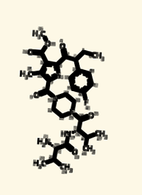 CCC(C(=O)c1sc(C(=O)N2CCN(C(=O)[C@@H](NC(=O)[C@@H](N)C(C)C)C(C)C)CC2)c(C)c1C(=O)OC)c1ccc(F)cc1